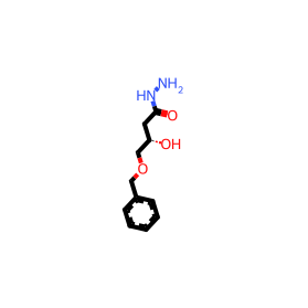 NNC(=O)C[C@H](O)COCc1ccccc1